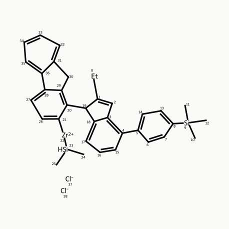 CCC1=Cc2c(-c3ccc([Si](C)(C)C)cc3)cccc2C1c1[c]([Zr+2][SiH](C)C)ccc2c1Cc1ccccc1-2.[Cl-].[Cl-]